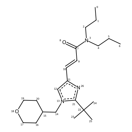 CCCN(CCC)C(=O)C=Cc1cn(CC2CCOCC2)c(C(C)(C)C)n1